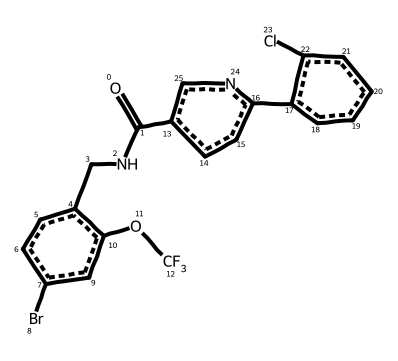 O=C(NCc1ccc(Br)cc1OC(F)(F)F)c1ccc(-c2ccccc2Cl)nc1